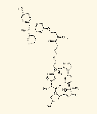 CC/C(=C(\c1ccc(O)cc1)c1ccc(OCCN(C)C(=O)CCCOCCOc2cc([C@H](C(=O)N3C[C@H](O)C[C@@H]3C3=NC(=O)[C@](C)(c4ccc(-c5scnc5C)cc4)N3)C(C)C)on2)cc1)c1ccccc1